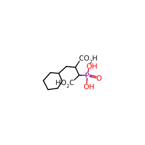 O=C(O)C(CC1CCCCC1)C(C(=O)O)P(=O)(O)O